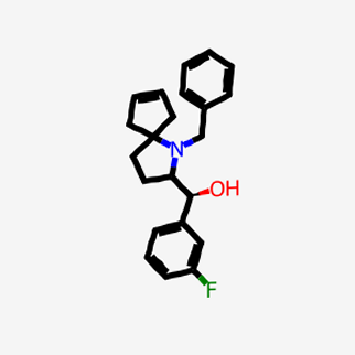 O[C@@H](c1cccc(F)c1)C1CCC2(CC=CC2)N1Cc1ccccc1